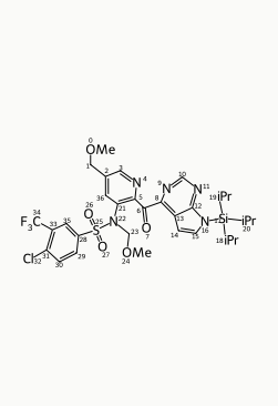 COCc1cnc(C(=O)c2ncnc3c2ccn3[Si](C(C)C)(C(C)C)C(C)C)c(N(COC)S(=O)(=O)c2ccc(Cl)c(C(F)(F)F)c2)c1